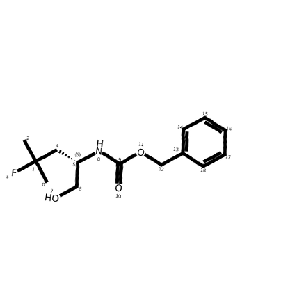 CC(C)(F)C[C@@H](CO)NC(=O)OCc1ccccc1